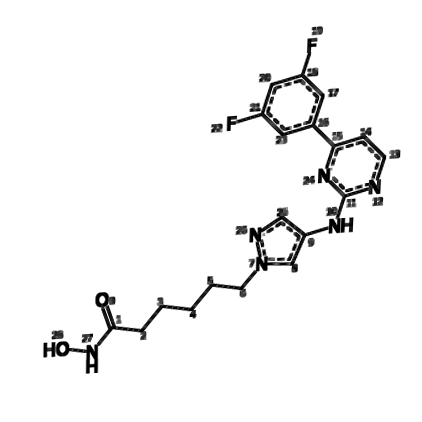 O=C(CCCCCn1cc(Nc2nccc(-c3cc(F)cc(F)c3)n2)cn1)NO